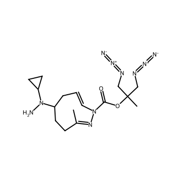 C/C1=N\N(C(=O)OC(C)(CN=[N+]=[N-])CN=[N+]=[N-])/C=C/CC(N(N)C2CC2)CC1